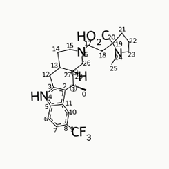 C[C@H]1c2c([nH]c3ccc(C(F)(F)F)cc23)CC2CCN(CCC3(C(=O)O)CCCN3C)C[C@@H]21